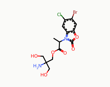 CC(C(=O)OCC(N)(CO)CO)n1c(=O)oc2cc(Br)c(Cl)cc21